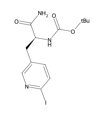 CC(C)(C)OC(=O)N[C@@H](Cc1ccc(I)nc1)C(N)=O